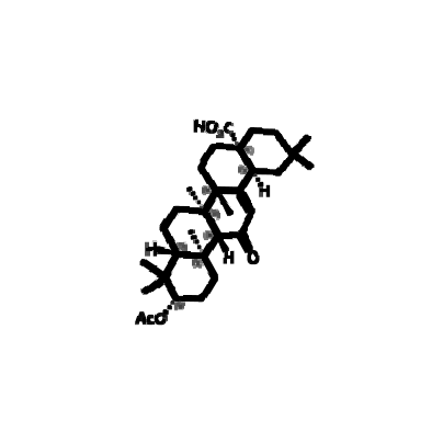 CC(=O)O[C@H]1CC[C@]2(C)[C@H]3C(=O)C=C4[C@@H]5CC(C)(C)CC[C@]5(C(=O)O)CC[C@@]4(C)[C@]3(C)CC[C@H]2C1(C)C